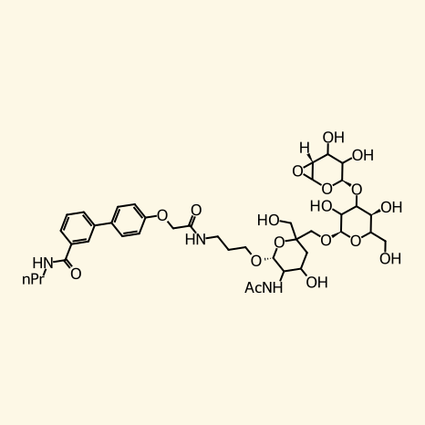 CCCNC(=O)c1cccc(-c2ccc(OCC(=O)NCCCO[C@@H]3OC(CO)(CO[C@@H]4OC(CO)[C@H](O)C(O[C@H]5OC6O[C@@H]6C(O)C5O)C4O)CC(O)C3NC(C)=O)cc2)c1